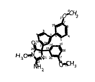 COc1cccc(-c2cccc(C3(c4cccc(OC)c4)N=C(N)N(C)C3=O)c2)c1